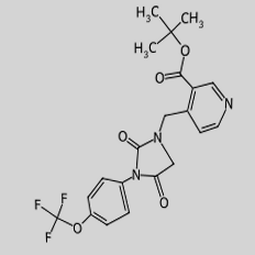 CC(C)(C)OC(=O)c1cnccc1CN1CC(=O)N(c2ccc(OC(F)(F)F)cc2)C1=O